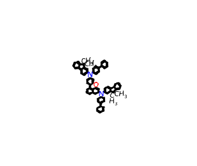 CC1(C)c2ccccc2-c2ccc(N(c3ccc(-c4ccccc4)cc3)c3ccc4c(c3)Oc3cc(N(c5ccc(-c6ccccc6)cc5)c5ccc6c(c5)C(C)(C)c5ccccc5-6)cc5cccc-4c35)cc21